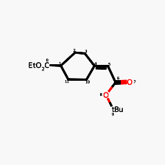 CCOC(=O)C1CCC(=CC(=O)OC(C)(C)C)CC1